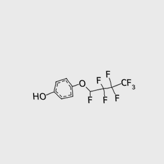 Oc1ccc(OC(F)C(F)(F)C(F)(F)C(F)(F)F)cc1